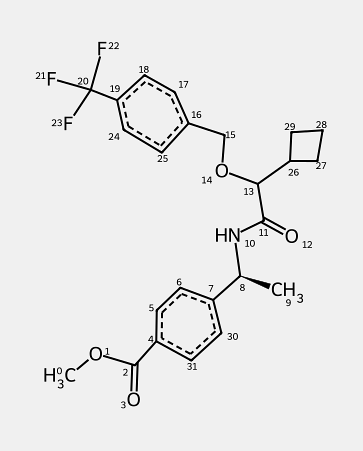 COC(=O)c1ccc([C@H](C)NC(=O)C(OCc2ccc(C(F)(F)F)cc2)C2CCC2)cc1